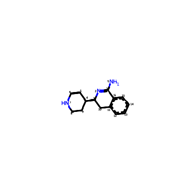 NC1=NC(C2CCNCC2)Cc2ccccc21